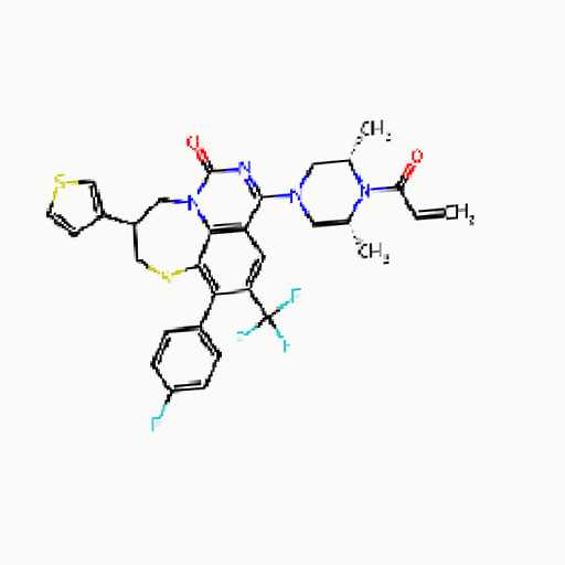 C=CC(=O)N1[C@H](C)CN(c2nc(=O)n3c4c(c(-c5ccc(F)cc5)c(C(F)(F)F)cc24)SCC(c2ccsc2)C3)C[C@@H]1C